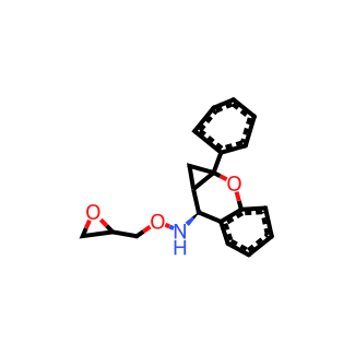 c1ccc(C23CC2[C@H](NOCC2CO2)c2ccccc2O3)cc1